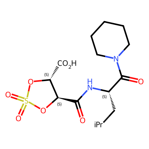 CC(C)C[C@H](NC(=O)[C@H]1OS(=O)(=O)O[C@@H]1C(=O)O)C(=O)N1CCCCC1